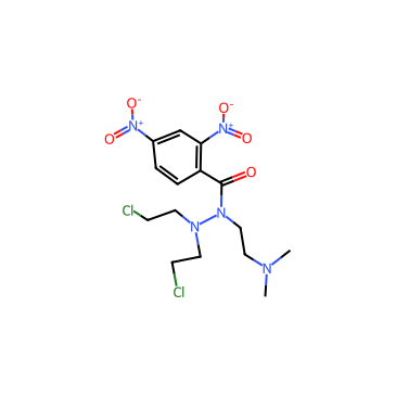 CN(C)CCN(C(=O)c1ccc([N+](=O)[O-])cc1[N+](=O)[O-])N(CCCl)CCCl